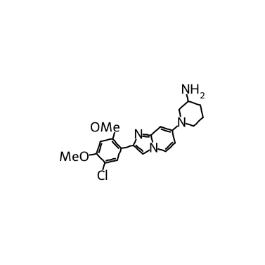 COc1cc(OC)c(-c2cn3ccc(N4CCCC(N)C4)cc3n2)cc1Cl